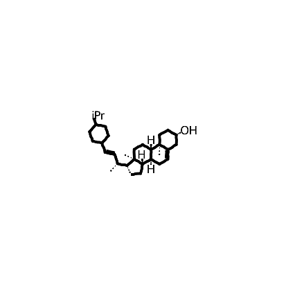 CC(C)C1CCC(/C=C/[C@@H](C)[C@H]2CC[C@H]3[C@@H]4CC=C5C[C@@H](O)CC[C@]5(C)[C@H]4CC[C@]23C)CC1